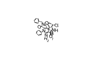 CCOC(=O)C1=C(N)N(c2ccccc2)C2=C(C(=O)N(Cc3ccccc3)C2=O)[C@]12C(=O)Nc1c(Cl)cccc12